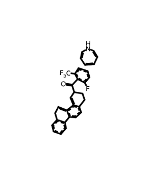 C1=CC=CNC=C1.O=C(c1c(F)cccc1C(F)(F)F)C1C=c2c(ccc3c2=CCc2ccccc2-3)CC1